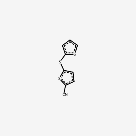 N#Cc1ccc(Sc2cccs2)s1